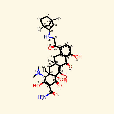 CN(C)[C@@H]1C(O)=C(C(N)=O)C(=O)[C@@]2(O)C(O)=C3C(=O)c4c(O)ccc(C(=O)CN[C@@H]5C[C@H]6CC[C@@H]5C6)c4C[C@H]3C[C@@H]12